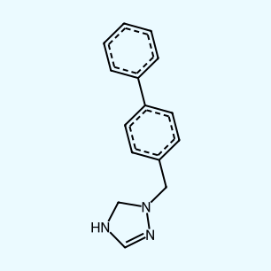 C1=NN(Cc2ccc(-c3ccccc3)cc2)CN1